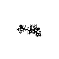 O=C(CSc1nc(=O)[nH]c2nc[nH]c12)N[C@@H]1C(=O)N2C(C(=O)O)=C(C(=C3CCNC3=O)C3CC3)CS[C@H]12.[NaH]